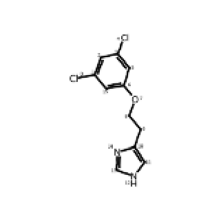 Clc1cc(Cl)cc(OCCc2c[nH]cn2)c1